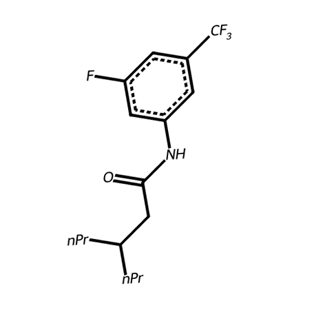 CCCC(CCC)CC(=O)Nc1cc(F)cc(C(F)(F)F)c1